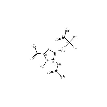 CC(=O)N[C@H]1[C@@H](C)C[C@H](C(=O)O)N1C.O=C(O)C(F)(F)F